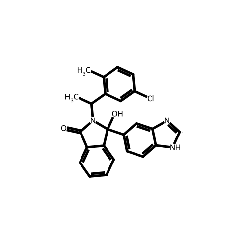 Cc1ccc(Cl)cc1C(C)N1C(=O)c2ccccc2C1(O)c1ccc2[nH][c]nc2c1